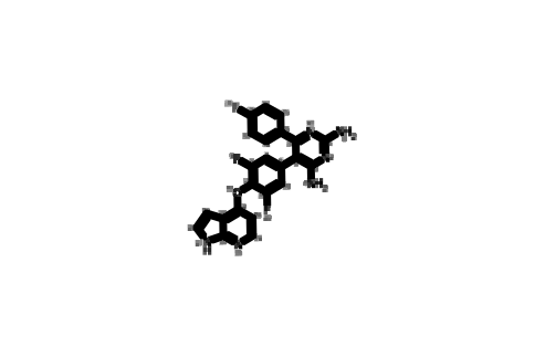 Nc1nc(N)c(-c2cc(F)c(Oc3ccnc4[nH]ccc34)c(F)c2)c(-c2ccc(F)cc2)n1